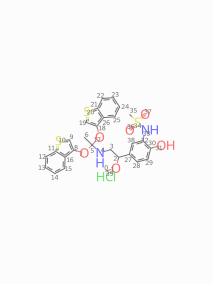 COC(CNC(C)(Oc1csc2ccccc12)Oc1csc2ccccc12)c1ccc(O)c(NS(C)(=O)=O)c1.Cl